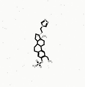 CCc1cc2c(cc1OS(N)(=O)=O)CCC1C2CC[C@@]2(C)C1CC[C@@H]2CCn1cnnc1